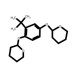 CC(C)(C)c1cc(OC2CCCCO2)ccc1OC1CCCCO1